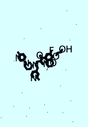 Cc1ccc(N2CCC[C@H](N(Cc3ccnc(C)c3)Cc3cn4c5c(c(OCCO)c(F)cc5c3=O)OC[C@@H]4C)C2)cn1